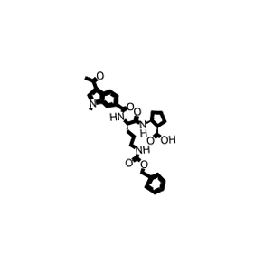 CC(=O)c1cn(C)c2cc(C(=O)N[C@@H](CCCNC(=O)OCc3ccccc3)C(=O)N[C@H]3CCC[C@H]3C(=O)O)ccc12